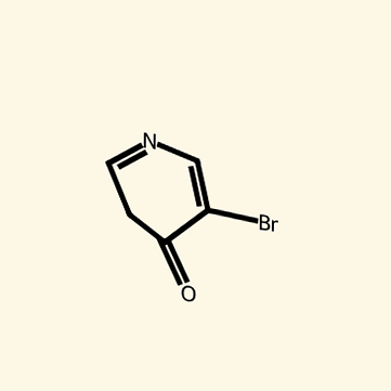 O=C1CC=NC=C1Br